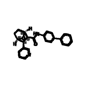 O=C(Nc1ccc(-c2ccccc2)cc1)[C@H]1[C@@H](c2cccnc2)[C@H]2CC[C@@H]1O2